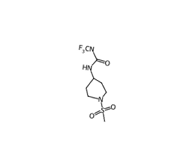 CS(=O)(=O)N1CCC(NC(=O)NC(F)(F)F)CC1